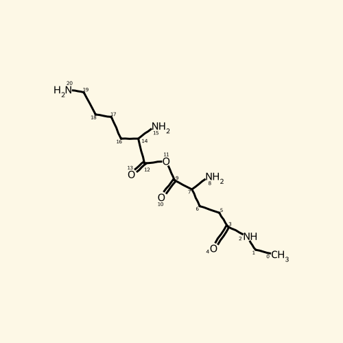 CCNC(=O)CCC(N)C(=O)OC(=O)C(N)CCCCN